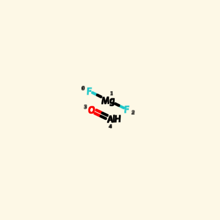 [F][Mg][F].[O]=[AlH]